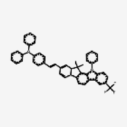 CC1(C)c2c(ccc3c4cc(C(F)(F)F)ccc4n(-c4ccccc4)c23)C2C=CC(/C=C/c3ccc(N(c4ccccc4)c4ccccc4)cc3)=CC21